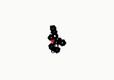 CN1C(c2cccc3oc4ccccc4c23)=NC2=C(C1C1CCc3cc4ccccc4cc3-c3ccccc31)C(C)(C)C1C=CC=CC21